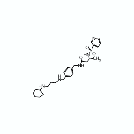 C[C@@H](CC(=O)NCc1ccc(CNCCCNC2CCCCC2)cc1)NS(=O)(=O)c1cccnc1